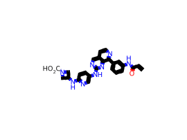 C=CC(=O)Nc1cccc(-c2nccc3cnc(Nc4ccc(NC5CN(C(=O)O)C5)nc4)nc23)c1